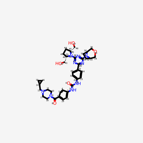 O=C(Nc1ccc(C(=O)N2CCN(CC3CC3)CC2)cc1)Nc1ccc(-c2nc(N3C4CCC3COC4)nc(N3[C@H](CO)CC[C@@H]3CO)n2)cc1